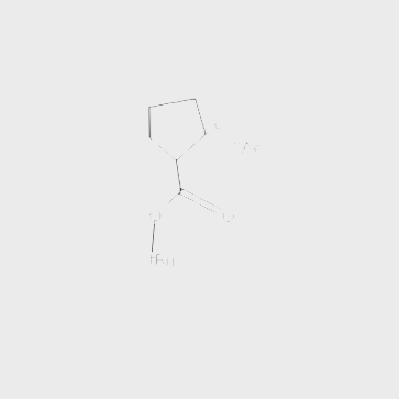 CC(=O)[C@H]1CCCC1C(=O)OC(C)(C)C